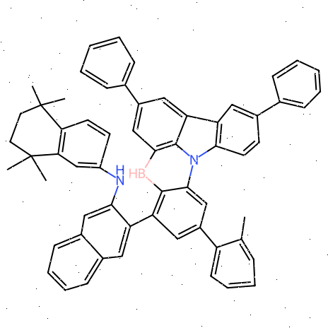 Cc1ccccc1-c1cc(-c2cc3ccccc3cc2Nc2ccc3c(c2)C(C)(C)CCC3(C)C)c2c(c1)-n1c3ccc(-c4ccccc4)cc3c3cc(-c4ccccc4)cc(c31)B2